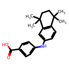 CC1(C)CCC(C)(C)c2cc(Nc3ccc(C(=O)O)cc3)ccc21